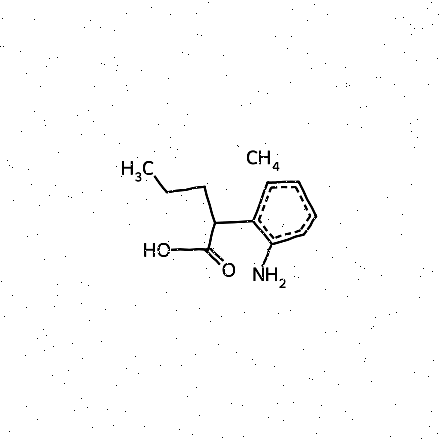 C.CCCC(C(=O)O)c1ccccc1N